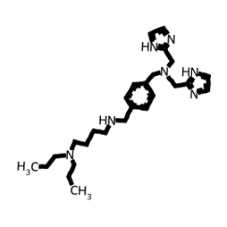 CCCN(CCC)CCCCNCc1ccc(CN(Cc2ncc[nH]2)Cc2ncc[nH]2)cc1